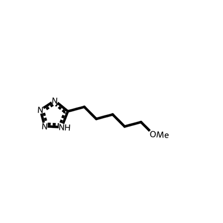 COCCCCCc1nnn[nH]1